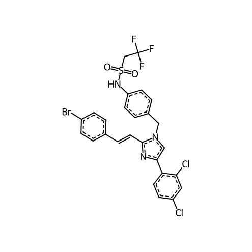 O=S(=O)(CC(F)(F)F)Nc1ccc(Cn2cc(-c3ccc(Cl)cc3Cl)nc2/C=C/c2ccc(Br)cc2)cc1